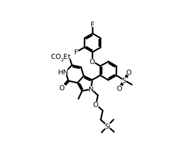 CCOC(=O)c1cc2c(-c3cc(S(C)(=O)=O)ccc3Oc3ccc(F)cc3F)n(COCC[Si](C)(C)C)c(C)c2c(=O)[nH]1